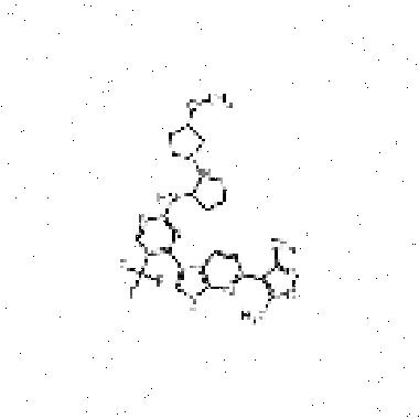 COC1CCN([C@H]2CCCC2Nc2ncc(C(F)(F)F)c(-c3c[nH]c4nc(-c5c(C)noc5C)ccc34)n2)C1